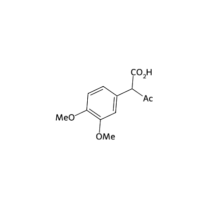 COc1ccc(C(C(C)=O)C(=O)O)cc1OC